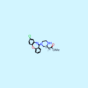 COC(=O)[C@H](C)[C@H]1CN(C2=Nc3cc(Cl)ccc3Oc3ccccc32)CCN1